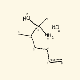 C=CCCC(C)C(C)(N)O.Cl